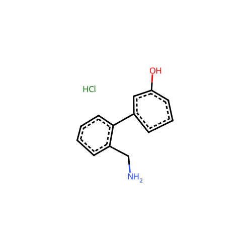 Cl.NCc1ccccc1-c1cccc(O)c1